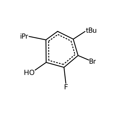 CC(C)c1cc(C(C)(C)C)c(Br)c(F)c1O